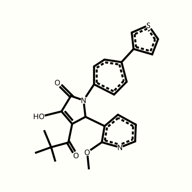 COc1ncccc1C1C(C(=O)C(C)(C)C)=C(O)C(=O)N1c1ccc(-c2ccsc2)cc1